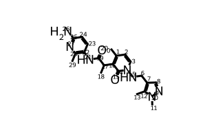 Cc1ccn(NCc2cnn(C)c2C)c(=O)c1C(C)C(=O)Nc1ccc(N)nc1C